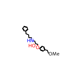 COCCc1ccc(OCC(O)CNCCCCc2ccccc2)cc1